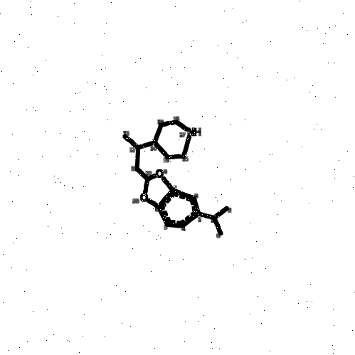 CC(C)c1ccc2c(c1)OC(CC(C)C1CCNCC1)O2